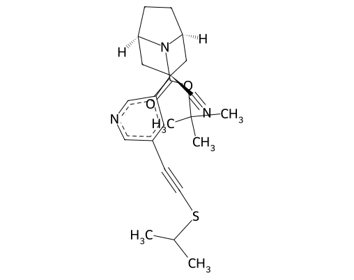 CC(C)SC#Cc1cncc([C@]2(C#N)C[C@H]3CC[C@@H](C2)N3C(=O)OC(C)(C)C)c1